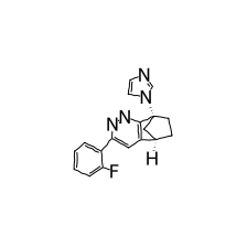 Fc1ccccc1-c1cc2c(nn1)[C@@]1(n3ccnc3)CC[C@@H]2C1